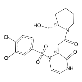 O=C1NC=CN(S(=O)(=O)c2ccc(Cl)c(Cl)c2)[C@@H]1CC(=O)N1CCCC[C@H]1CO